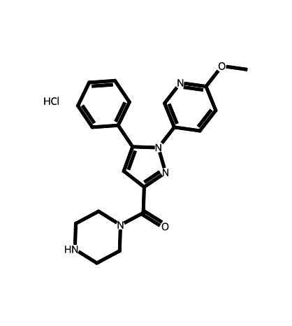 COc1ccc(-n2nc(C(=O)N3CCNCC3)cc2-c2ccccc2)cn1.Cl